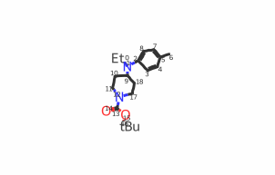 CCN(c1ccc(C)cc1)C1CCN(C(=O)OC(C)(C)C)CC1